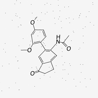 COc1ccc(-c2cc3c(cc2NC(C)=O)CCC3=O)c(OC)c1